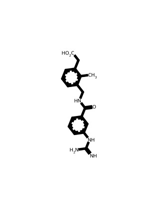 Cc1c(CNC(=O)c2cccc(NC(=N)N)c2)cccc1CC(=O)O